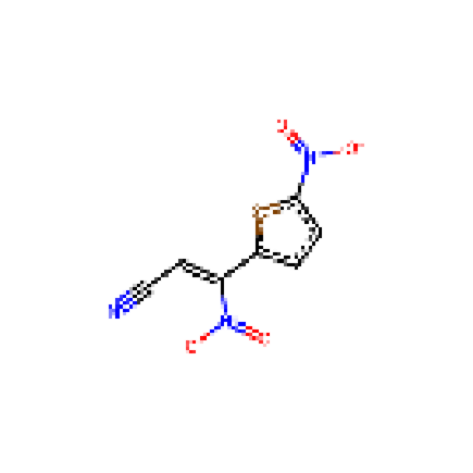 N#CC=C(c1ccc([N+](=O)[O-])s1)[N+](=O)[O-]